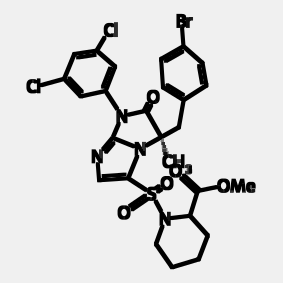 COC(=O)C1CCCCN1S(=O)(=O)c1cnc2n1[C@](C)(Cc1ccc(Br)cc1)C(=O)N2c1cc(Cl)cc(Cl)c1